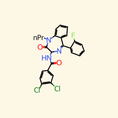 CCCN1C(=O)C(NC(=O)c2ccc(Cl)c(Cl)c2)N=C(c2ccccc2F)c2ccccc21